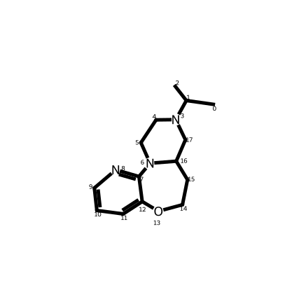 CC(C)N1CCN2c3ncccc3OCCC2C1